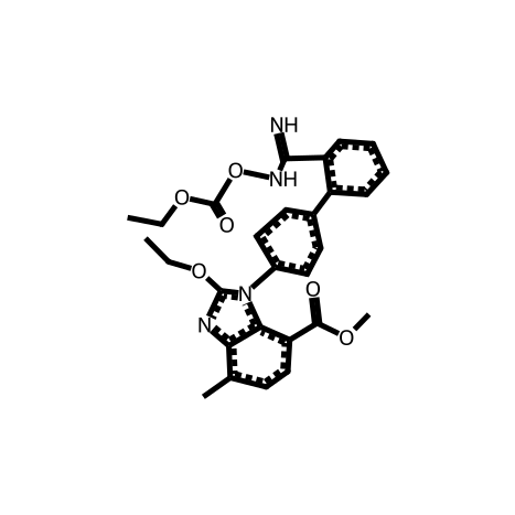 CCOC(=O)ONC(=N)c1ccccc1-c1ccc(-n2c(OCC)nc3c(C)ccc(C(=O)OC)c32)cc1